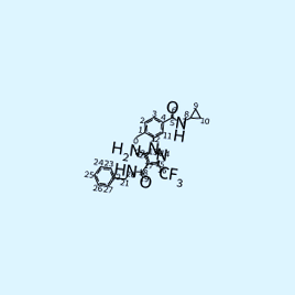 Cc1ccc(C(=O)NC2CC2)cc1-n1nc(C(F)(F)F)c(C(=O)NCc2ccccc2)c1N